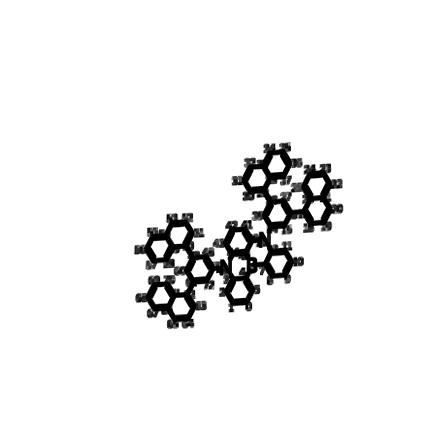 c1ccc2c(c1)B1c3ccccc3N(c3cc(-c4cccc5ccccc45)cc(-c4cccc5ccccc45)c3)c3cccc(c31)N2c1cc(-c2cccc3ccccc23)cc(-c2cccc3ccccc23)c1